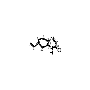 C=Cc1ccc2ncc(=O)[nH]c2c1